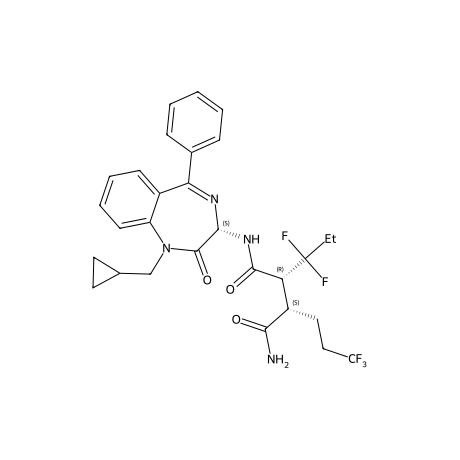 CCC(F)(F)[C@@H](C(=O)N[C@H]1N=C(c2ccccc2)c2ccccc2N(CC2CC2)C1=O)[C@H](CCC(F)(F)F)C(N)=O